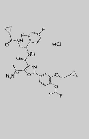 C[C@H](N)c1oc(-c2ccc(OC(F)F)c(OCC3CC3)c2)nc1C(=O)NC(CNC(=O)C1CC1)c1ccc(F)cc1F.Cl